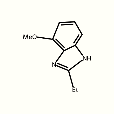 [CH2]Oc1cccc2[nH]c(CC)nc12